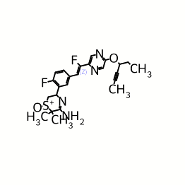 CC#CC(CC)Oc1cnc(/C(F)=C/c2ccc(F)c(C3C[S+]([O-])C(C)(C)C(N)=N3)c2)cn1